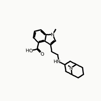 CN1C2CCCC1CC(NCCc1cn(C)c3cccc(C(=O)O)c13)C2